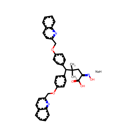 CC(C)(C/C(=N/O)C(=O)O)C(c1ccc(OCc2ccc3ccccc3n2)cc1)c1ccc(OCc2ccc3ccccc3n2)cc1.[NaH]